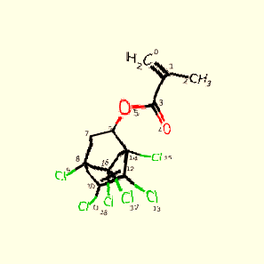 C=C(C)C(=O)OC1CC2(Cl)C(Cl)=C(Cl)C1(Cl)C2(Cl)Cl